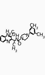 COc1nc2ccccc2nc1C(C)NC(=O)N1CCN(c2cc(C)cc(C)c2)CC1